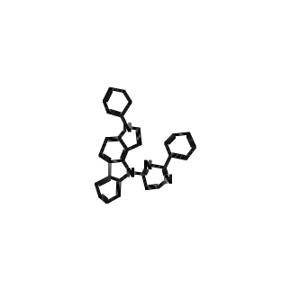 C1=CCCC(n2ccc3c2ccc2c4ccccc4n(-c4ccnc(-c5ccccc5)n4)c23)=C1